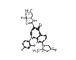 CCC(NC(=O)c1cn(-c2ccc(F)cc2F)c2nc(N3C[C@@H](F)C[C@H]3C)ccc2c1=O)C(F)(F)F